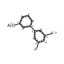 CC(=O)Oc1cccc(-c2cc(F)cc(F)c2)c1